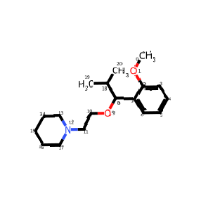 COc1ccccc1C(OCCN1CCCCC1)C(C)C